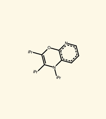 CC(C)C1=C(C(C)C)N(C(C)C)c2cccnc2O1